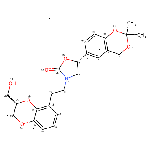 CC1(C)OCc2cc([C@@H]3CN(CCc4cccc5c4O[C@H](CO)CO5)C(=O)O3)ccc2O1